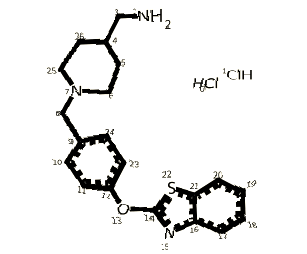 Cl.Cl.NCC1CCN(Cc2ccc(Oc3nc4ccccc4s3)cc2)CC1